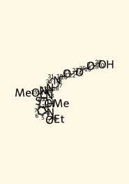 CCC(=O)Nc1cccc(Sc2c(OC)nc(N3CCN(CCOCCOCCOCCO)CC3)nc2OC)c1